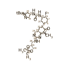 Cn1c(=O)c(-c2ccc(F)c(NC(=O)Nc3cnn(C(C)(C)C)c3)c2)cc2cnc(NCC3COC(C)(C)O3)nc21